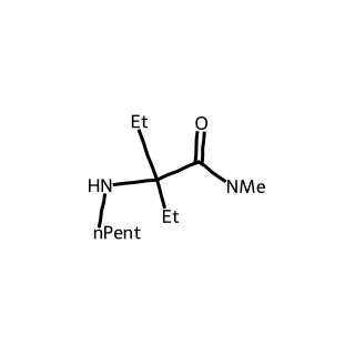 CCCCCNC(CC)(CC)C(=O)NC